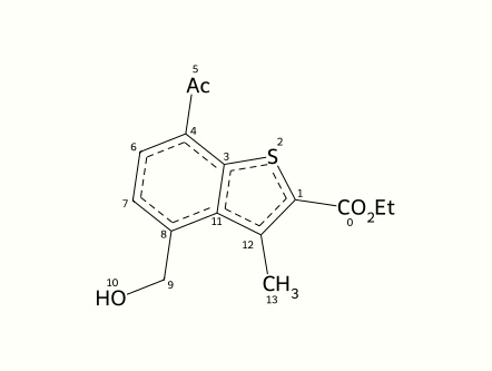 CCOC(=O)c1sc2c(C(C)=O)ccc(CO)c2c1C